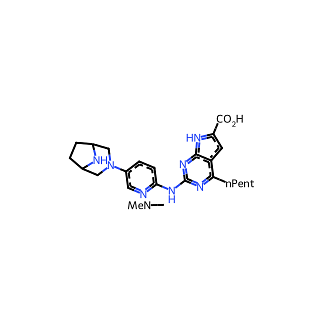 CCCCCc1nc(Nc2ccc(N3CC4CCC(C3)N4)cn2)nc2[nH]c(C(=O)O)cc12.CNC